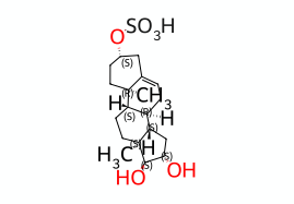 C[C@]12CC[C@H]3[C@@H](CC=C4C[C@@H](OS(=O)(=O)O)CC[C@@]43C)[C@@H]1C[C@H](O)[C@H]2O